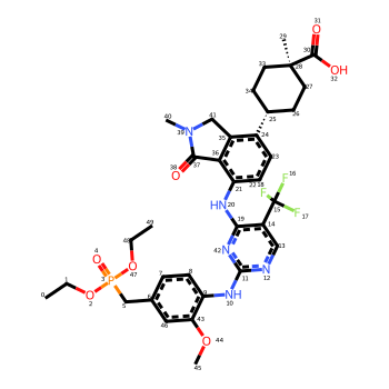 CCOP(=O)(Cc1ccc(Nc2ncc(C(F)(F)F)c(Nc3ccc([C@H]4CC[C@](C)(C(=O)O)CC4)c4c3C(=O)N(C)C4)n2)c(OC)c1)OCC